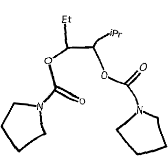 CCC(OC(=O)N1CCCC1)C(OC(=O)N1CCCC1)C(C)C